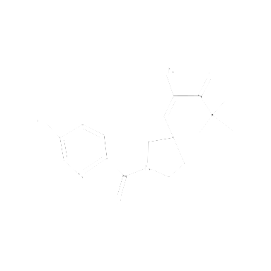 CC1(C)C[C@]2(C=C(C#N)C1=O)CCN(C(=O)c1ccc(Cl)cn1)C2